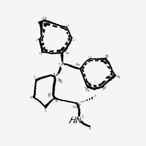 CN[C@@H](C)[C@H]1CCC[C@H]1P(c1ccccc1)c1ccccc1